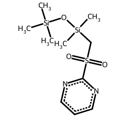 C[Si](C)(C)O[Si](C)(C)CS(=O)(=O)c1ncccn1